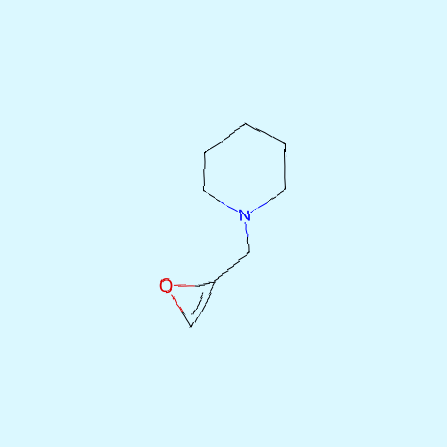 C1=C(CN2CCCCC2)O1